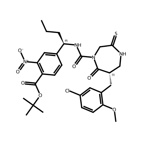 CCC[C@@H](NC(=O)N1CC(=S)NC[C@H](Cc2cc(Cl)ccc2OC)C1=O)c1ccc(C(=O)OC(C)(C)C)c([N+](=O)[O-])c1